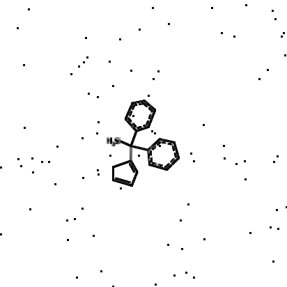 [SiH3]C(C1=CC=CC1)(c1ccccc1)c1ccccc1